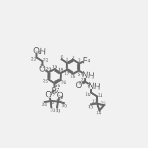 Cc1cc(F)c(NC(=O)NCCC2(C)CC2)cc1-c1cc(OCCO)cc(B2OC(C)(C)C(C)(C)O2)c1